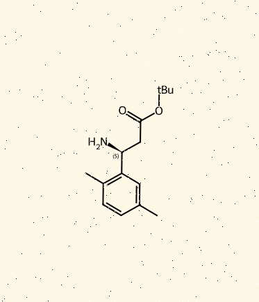 Cc1ccc(C)c([C@@H](N)CC(=O)OC(C)(C)C)c1